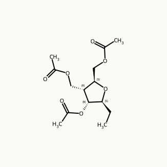 CC[C@@H]1O[C@H](COC(C)=O)[C@@H](COC(C)=O)[C@H]1OC(C)=O